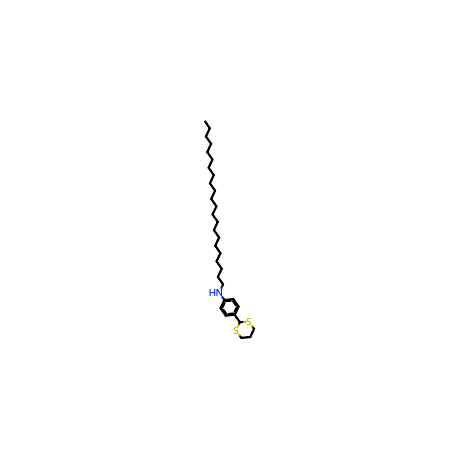 CCCCCCCCCCCCCCCCCCCCCCNc1ccc(C2SCCCS2)cc1